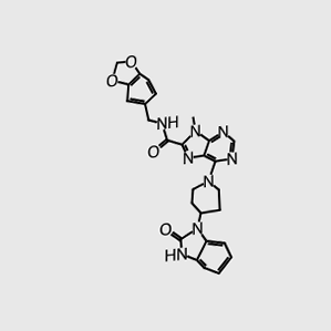 Cn1c(C(=O)NCc2ccc3c(c2)OCO3)nc2c(N3CCC(n4c(=O)[nH]c5ccccc54)CC3)ncnc21